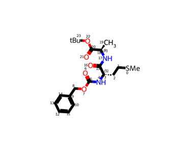 CSCC[C@H](NC(=O)OCc1ccccc1)C(=O)N[C@H](C)C(=O)OC(C)(C)C